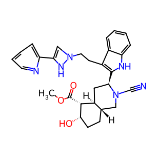 COC(=O)[C@@H]1[C@H]2C[C@@H](c3[nH]c4ccccc4c3CCn3cc(-c4ccccn4)[nH]3)N(C#N)C[C@@H]2CC[C@@H]1O